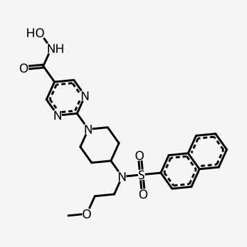 COCCN(C1CCN(c2ncc(C(=O)NO)cn2)CC1)S(=O)(=O)c1ccc2ccccc2c1